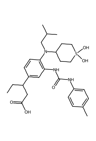 CCC(CC(=O)O)c1ccc(N(CC(C)C)C2CCS(O)(O)CC2)c(NC(=O)Nc2ccc(C)cc2)c1